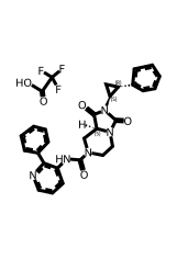 O=C(Nc1cccnc1-c1ccccc1)N1CCN2C(=O)N([C@H]3C[C@@H]3c3ccccc3)C(=O)[C@@H]2C1.O=C(O)C(F)(F)F